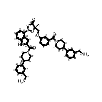 C[C@@]1(COc2cccc(C(=O)N3CCC(c4cccc(CN)c4)CC3)c2)OB(c2cccc3[nH]c(C(=O)N4CCC(c5cccc(CN)c5)CC4)cc23)OC1=O